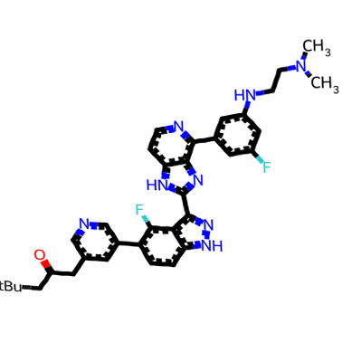 CN(C)CCNc1cc(F)cc(-c2nccc3[nH]c(-c4n[nH]c5ccc(-c6cncc(CC(=O)CC(C)(C)C)c6)c(F)c45)nc23)c1